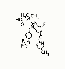 Cc1ccc(COc2cc(F)c3nc([C@H]4[C@@H](C(=O)O)C4(C)C)n(Cc4ccc(OC(F)(F)F)cc4)c3c2)nc1